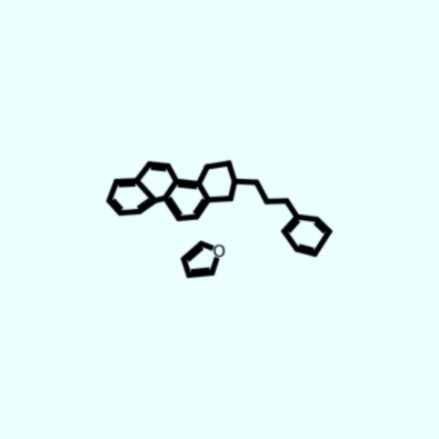 c1ccc(CCCC2CCc3c(ccc4c3ccc3ccccc34)C2)cc1.c1ccoc1